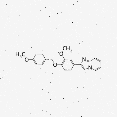 COc1ccc(COc2ccc(-c3cn4ccccc4n3)cc2OC)cc1